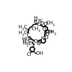 C=C1C[C@H](O)[C@@H](C)[C@@H](/C(C)=C/[C@@H]2CC[C@H](Cl)[C@H](CO)C2)OC(=O)[C@@H]2CCCCN2C(=O)C(=O)[C@]2(O)OC([C@@H](OC)C[C@@H](C)C/C(C)=C/[C@H]1CC)[C@@H](OC)C[C@H]2C